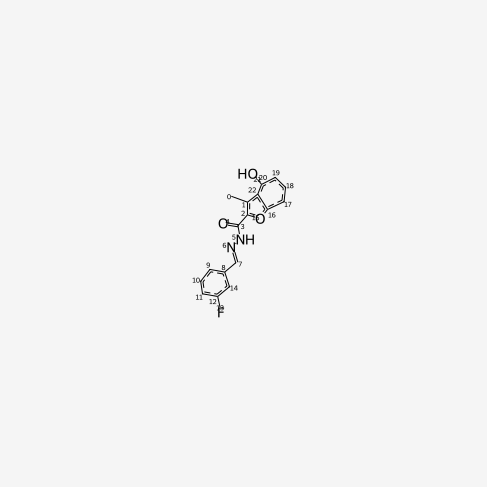 Cc1c(C(=O)NN=Cc2cccc(F)c2)oc2cccc(O)c12